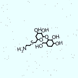 NCCSCC1CC(O)C(O)C(OC2C(CO)CCC(O)C2O)O1